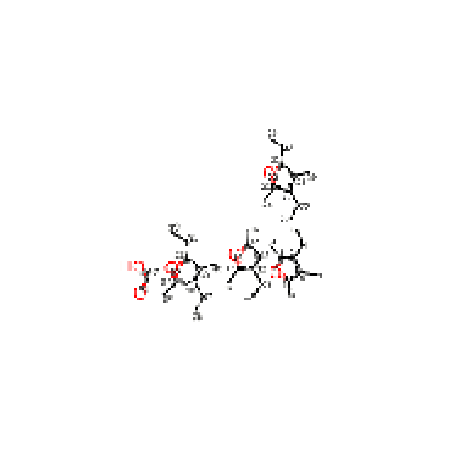 CCc1c(C)oc(C)c1C.CCc1cc(C)oc1C.CCc1oc(C)c(CC)c1C.CCc1oc(C)c(CC)c1C.O=CO